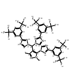 Cc1nn(C)c(-n2cnc(-c3cc(C(F)(F)F)cc(C(F)(F)F)c3)n2)c1C(n1cnc(-c2cc(C(F)(F)F)cc(C(F)(F)F)c2)n1)n1cnc(-c2cc(C(F)(F)F)cc(C(F)(F)F)c2)n1